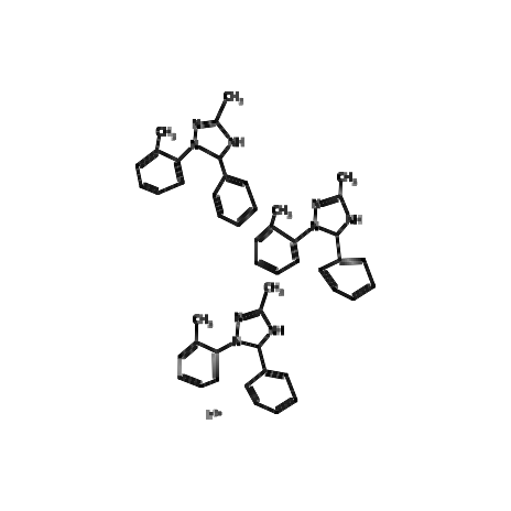 CC1=NN(c2ccccc2C)C(c2ccccc2)N1.CC1=NN(c2ccccc2C)C(c2ccccc2)N1.CC1=NN(c2ccccc2C)C(c2ccccc2)N1.[Ir+3]